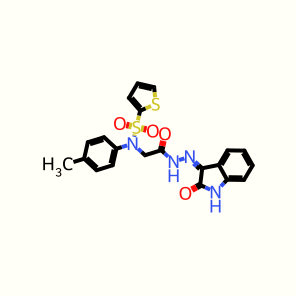 Cc1ccc(N(CC(=O)N/N=C2\C(=O)Nc3ccccc32)S(=O)(=O)c2cccs2)cc1